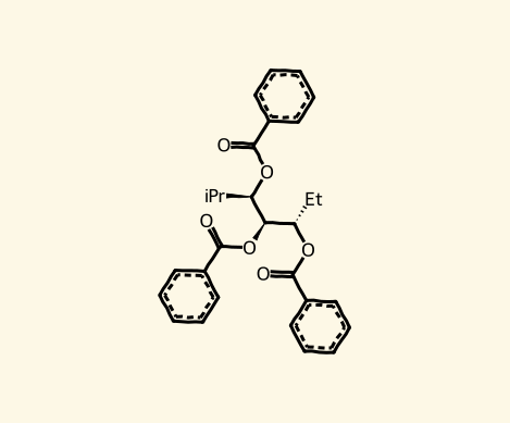 CC[C@H](OC(=O)c1ccccc1)[C@@H](OC(=O)c1ccccc1)[C@H](OC(=O)c1ccccc1)C(C)C